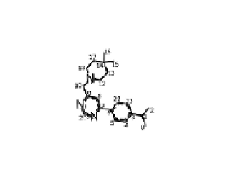 CC(C)c1ccc(-c2cc(CN3CCC(C)(C)CC3)ncn2)cc1